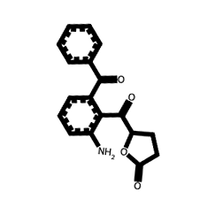 Nc1cccc(C(=O)c2ccccc2)c1C(=O)C1CCC(=O)O1